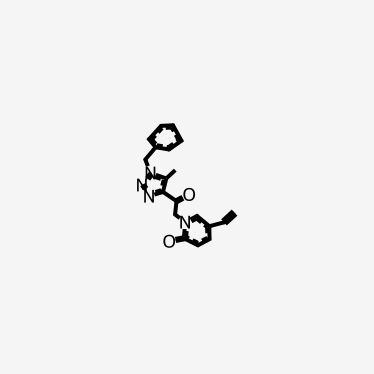 C#Cc1ccc(=O)n(CC(=O)c2nnn(Cc3ccccc3)c2C)c1